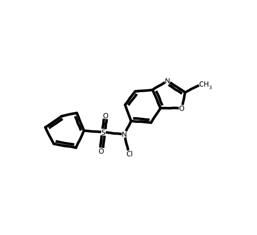 Cc1nc2ccc(N(Cl)S(=O)(=O)c3ccccc3)cc2o1